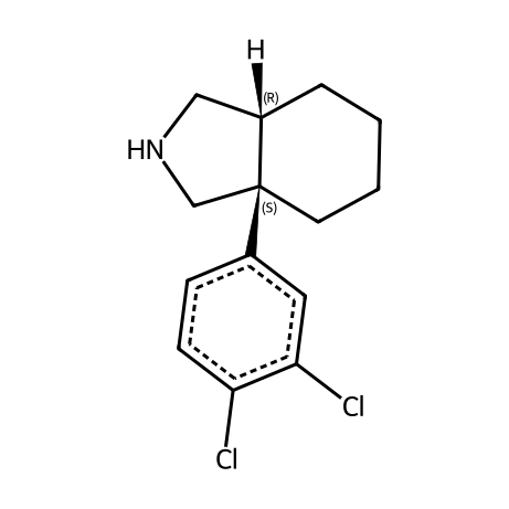 Clc1ccc([C@]23CCCC[C@H]2CNC3)cc1Cl